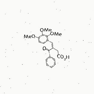 COc1ccc(C=C(CC(=O)O)C(=O)c2ccccc2)c(OC)c1OC